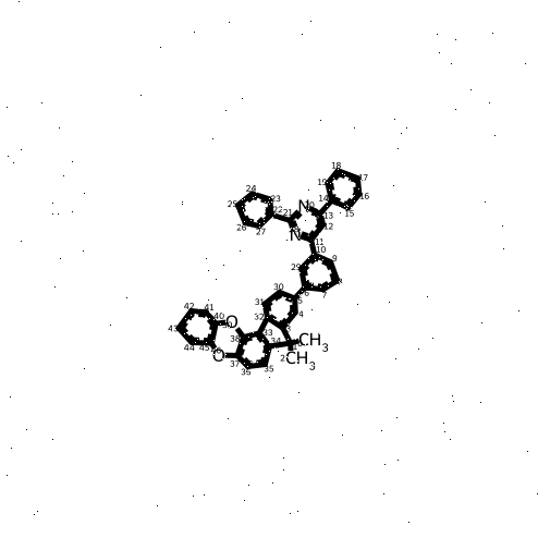 CC1(C)c2cc(-c3cccc(-c4cc(-c5ccccc5)nc(-c5ccccc5)n4)c3)ccc2-c2c1ccc1c2Oc2ccccc2O1